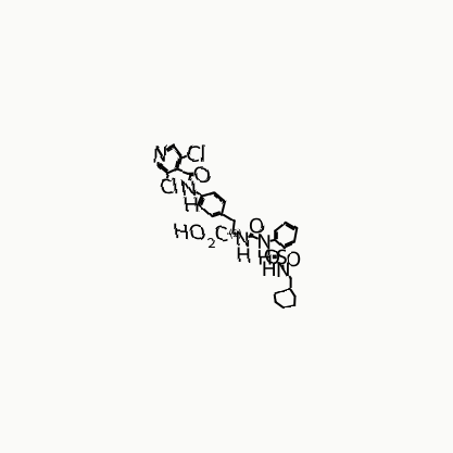 O=C(Nc1ccccc1S(=O)(=O)NCC1CCCCC1)N[C@@H](Cc1ccc(NC(=O)c2c(Cl)cncc2Cl)cc1)C(=O)O